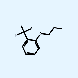 CCCOc1cc[c]cc1C(F)(F)F